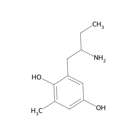 CCC(N)Cc1cc(O)cc(C)c1O